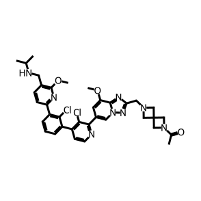 COc1nc(-c2cccc(-c3ccnc(-c4cc(OC)c5nc(CN6CC7(C6)CN(C(C)=O)C7)nn5c4)c3Cl)c2Cl)ccc1CNC(C)C